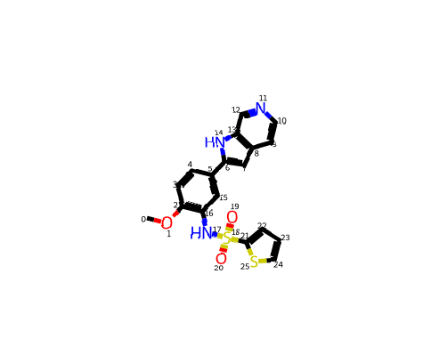 COc1ccc(-c2cc3ccncc3[nH]2)cc1NS(=O)(=O)c1cccs1